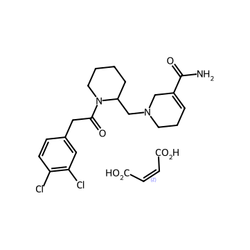 NC(=O)C1=CCCN(CC2CCCCN2C(=O)Cc2ccc(Cl)c(Cl)c2)C1.O=C(O)/C=C\C(=O)O